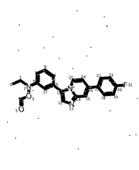 CCN(OC=O)c1cccc(-c2cnc3cc(-c4ccc(F)cc4)ccn23)c1